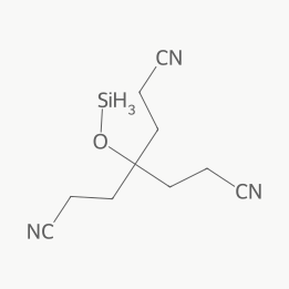 N#CCCC(CCC#N)(CCC#N)O[SiH3]